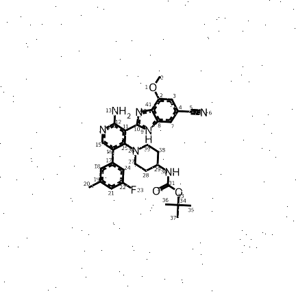 COc1cc(C#N)cc2[nH]c(-c3c(N)ncc(-c4cc(C)cc(F)c4)c3N3CCC(NC(=O)OC(C)(C)C)CC3)nc12